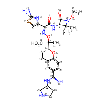 CC1(C)[C@H](NC(=O)/C(=N\O[C@](C)(C(=O)O)[C@H]2CCc3cc(C(=N)N[C@H]4CCNC4)ccc3O2)c2csc(N)n2)C(=O)N1OS(=O)(=O)O